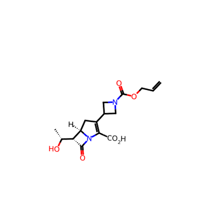 C=CCOC(=O)N1CC(C2=C(C(=O)O)N3C(=O)[C@H]([C@@H](C)O)[C@H]3C2)C1